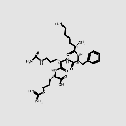 N=C(N)NCCC[C@H](NC(=O)[C@H](CCCNC(=N)N)NC(=O)[C@H](Cc1ccccc1)NC(=O)[C@@H](N)CCCCN)C(=O)O